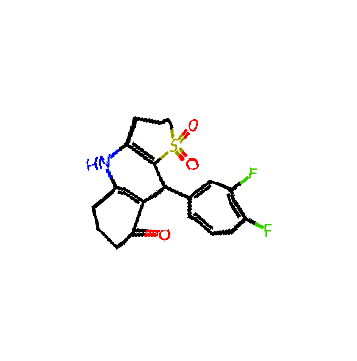 O=C1CCCC2=C1C(c1ccc(F)c(F)c1)C1=C(CCS1(=O)=O)N2